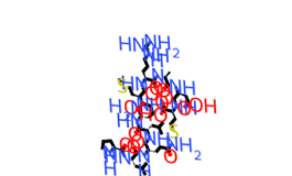 CSCC[C@H](NC(=O)[C@H](CC(=O)O)NC(=O)[C@H](C)NC(=O)[C@H](CCCNC(=N)N)NC(=O)[C@H](CCSC)NC(=O)[C@H](CCCCN)NC(=O)[C@H](CC(C)C)NC(=O)[C@H](CCC(N)=O)NC(=O)[C@H](CC(C)C)NC(=O)[C@@H]1CCCN1)C(=O)O